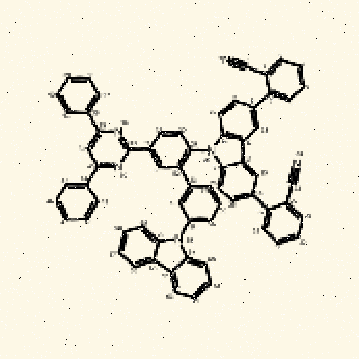 N#Cc1ccccc1-c1ccc2c(c1)c1cc(-c3ccccc3C#N)ccc1n2-c1ccc(-c2nc(-c3ccccc3)cc(-c3ccccc3)n2)cc1-c1cccc(-n2c3ccccc3c3ccccc32)c1